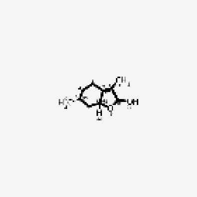 CC1=C2CC[C@@H](C)C[C@H]2OC1O